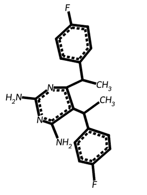 CC(c1ccc(F)cc1)c1nc(N)nc(N)c1C(C)c1ccc(F)cc1